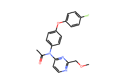 COCc1nccc(N(C(C)=O)c2ccc(Oc3ccc(F)cc3)cc2)n1